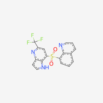 O=S(=O)(c1cccc2cccnc12)c1cc(C(F)(F)F)nc2cc[nH]c12